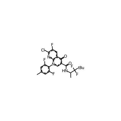 Cc1cc(F)c(-n2cc(C(=O)NC(C)C(F)(F)C(C)(C)C)c(=O)c3cc(F)c(Cl)nc32)c(F)c1